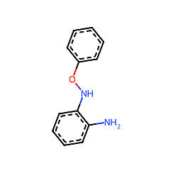 Nc1ccccc1NOc1ccccc1